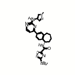 Cn1cc(Nc2nccc(-c3ccc4c(c3)CCCC[C@@H]4NC(=O)c3nc(C(C)(C)C)no3)n2)cn1